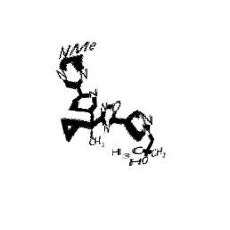 CNc1cnc(-c2ccc([C@](C)(c3noc(-c4cnn(CC(C)(C)O)c4)n3)C3CC3)cn2)cn1